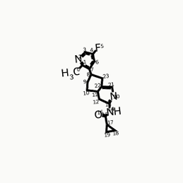 Cc1ncc(F)cc1C1CCC2CC(NC(=O)C3CC3)=NC=C2C1